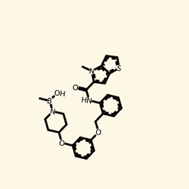 CB(O)N1CCC(Oc2cccc(OCc3ccccc3NC(=O)c3cc4sccc4n3C)c2)CC1